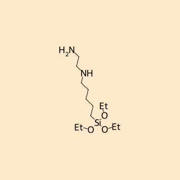 CCO[Si](CCCCCNCCN)(OCC)OCC